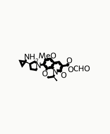 COc1cc2cc(C(=O)OC=O)c(=O)n3c2c(c1N1CC[C@@H](C2(N)CC2)C1)OC[C@@H]3C